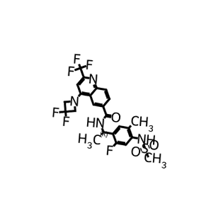 Cc1cc([C@@H](C)NC(=O)c2ccc3nc(C(F)(F)F)cc(N4CC(F)(F)C4)c3c2)c(F)cc1NS(C)(=O)=O